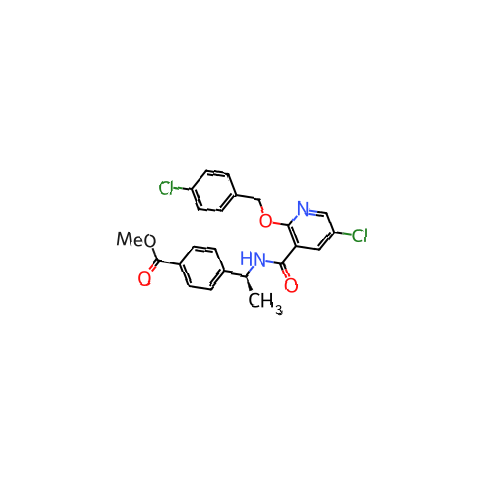 COC(=O)c1ccc([C@H](C)NC(=O)c2cc(Cl)cnc2OCc2ccc(Cl)cc2)cc1